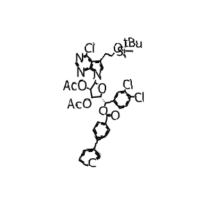 CC(=O)O[C@@H]1[C@H](OC(C)=O)[C@@H](C(OC(=O)c2ccc(-c3ccccc3)cc2)c2ccc(Cl)c(Cl)c2)O[C@H]1n1cc(CCO[Si](C)(C)C(C)(C)C)c2c(Cl)ncnc21